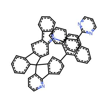 c1ccc(-n2c3ccccc3c3cc4c(cc32)C2(c3ccccc3-4)c3cc(-c4c5ccccc5c(-c5ncccn5)c5ccccc45)ccc3-c3ncccc32)cc1